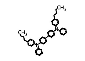 CCCCc1ccc(N(c2ccccc2)c2ccc(-c3ccc(N(c4ccccc4)c4ccc(CCCC)cc4)cc3)cc2)cc1